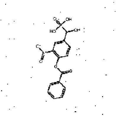 O=C(Oc1ccc(C(O)P(=O)(O)O)cc1[N+](=O)[O-])c1ccccc1